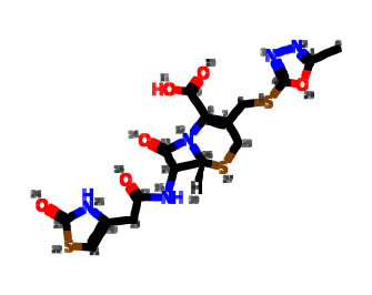 Cc1nnc(SCC2=C(C(=O)O)N3C(=O)C(NC(=O)Cc4csc(=O)[nH]4)[C@H]3SC2)o1